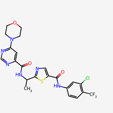 CC(NC(=O)c1cc(N2CCOCC2)ncn1)c1ncc(C(=O)Nc2ccc(C(F)(F)F)c(Cl)c2)s1